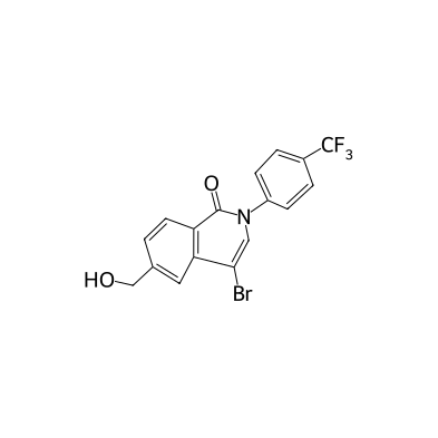 O=c1c2ccc(CO)cc2c(Br)cn1-c1ccc(C(F)(F)F)cc1